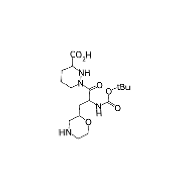 CC(C)(C)OC(=O)NC(CC1CNCCO1)C(=O)N1CCCC(C(=O)O)N1